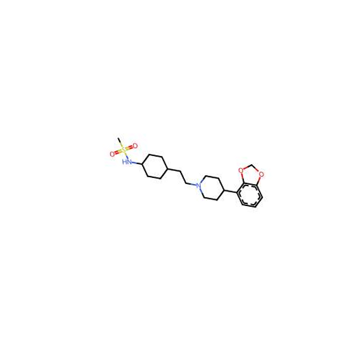 CS(=O)(=O)NC1CCC(CCN2CCC(c3cccc4c3OCO4)CC2)CC1